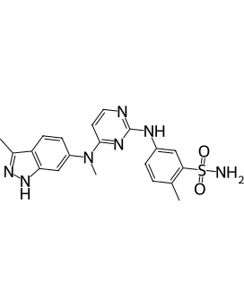 Cc1ccc(Nc2nccc(N(C)c3ccc4c(C)n[nH]c4c3)n2)cc1S(N)(=O)=O